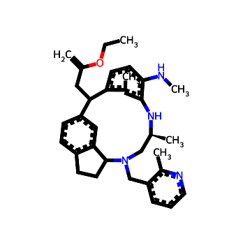 C=C(CC1c2ccc3c(c2)C(CC3)N(Cc2cccnc2C)C[C@H](C)Nc2c(NC)ccc1c2C)OCC